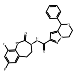 O=C(N[C@H]1CCc2cc(F)cc(F)c2NC1=O)c1cc2n(n1)CCOC2c1ccccc1